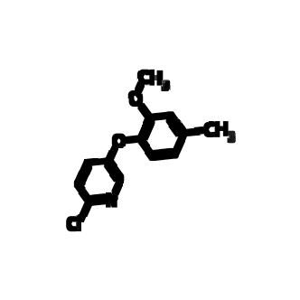 COc1cc(C)ccc1Oc1ccc(Cl)nc1